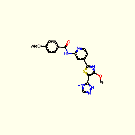 CCOc1nc(-c2ccnc(NC(=O)c3ccc(OC)cc3)c2)sc1-c1nnc[nH]1